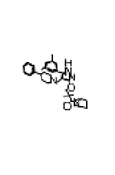 Cc1cc(C)cc(-c2[nH]nc(OCC(C)(C)C(=O)N3C4CCC3CC4)c2CN2CCC(c3ccccc3)CC2)c1